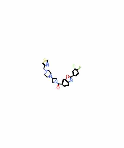 O=C(c1ccc2nc(-c3ccc(F)c(F)c3)oc2c1)N1CC(N2CCN(Cc3cscn3)CC2)C1